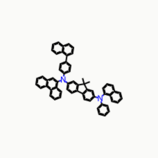 CC1(C)c2cc(N(c3ccccc3)c3cccc4ccccc34)ccc2-c2ccc(N(c3ccc(-c4cccc5ccccc45)cc3)c3cc4ccccc4c4ccccc34)cc21